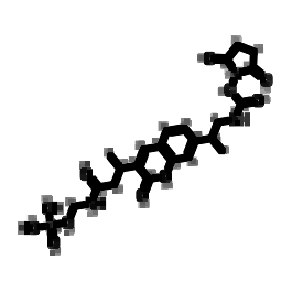 CC(CNC(=O)ON1C(=O)CCC1=O)c1ccc2cc(C(C)CC(=O)NCOP(=O)(O)O)c(=O)oc2c1